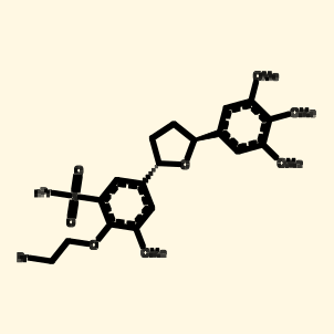 CCCS(=O)(=O)c1cc([C@@H]2CC[C@@H](c3cc(OC)c(OC)c(OC)c3)O2)cc(OC)c1OCCBr